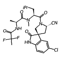 CC(C)C[C@@H](C(=O)N1C[C@]2(C[C@H]1C#N)C(=O)Nc1ccc(Cl)cc12)N(C)C(=O)[C@H](C)NC(=O)C(C)(F)F